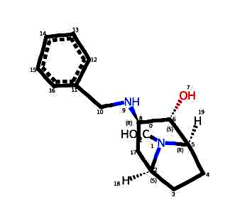 O=C(O)N1[C@H]2CC[C@@H]1[C@@H](O)[C@H](NCc1ccccc1)C2